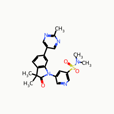 Cc1ncc(-c2ccc3c(c2)N(c2cncc(S(=O)(=O)N(C)C)c2)C(=O)C3(C)C)cn1